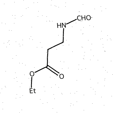 CCOC(=O)CCN[C]=O